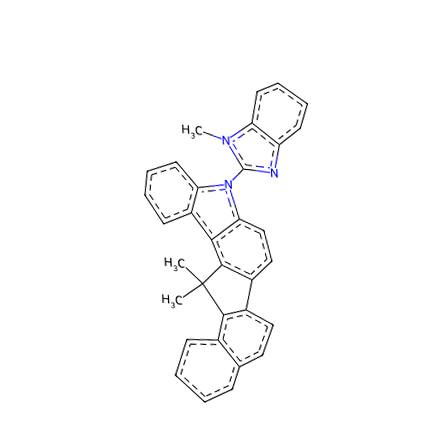 Cn1c(-n2c3ccccc3c3c4c(ccc32)-c2ccc3ccccc3c2C4(C)C)nc2ccccc21